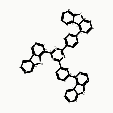 c1cc(-c2nc(-c3ccc(-c4cccc5sc6ccccc6c45)cc3)nc(-c3cccc4c3sc3ccccc34)n2)cc(-c2cccc3sc4ccccc4c23)c1